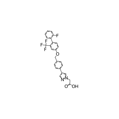 O=C(O)Cn1cc(-c2ccc(COc3ccc(-c4ccccc4F)c(C(F)(F)F)c3)cc2)cn1